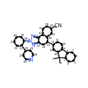 CC1(C)c2ccccc2-c2ccc(-c3cc4nn(-c5ccccc5-c5ccncc5)nc4c4ccc(C#N)cc34)cc21